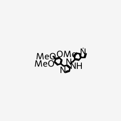 COc1cc(-c2nccc3[nH]c(-c4ccc5c(ccn5C)c4)nc23)cc(OC)c1OC